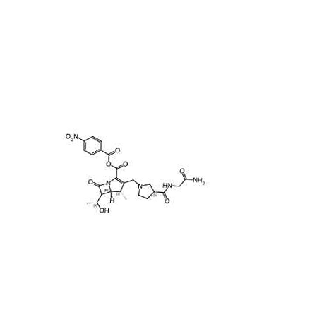 C[C@@H](O)C1C(=O)N2C(C(=O)OC(=O)c3ccc([N+](=O)[O-])cc3)=C(CN3CC[C@H](C(=O)NCC(N)=O)C3)[C@H](C)[C@H]12